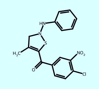 CC1=C(C(=O)c2ccc(Cl)c([N+](=O)[O-])c2)SN(Nc2ccccc2)C1